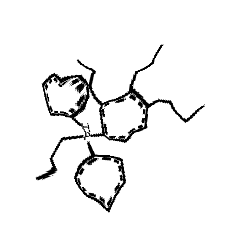 CCCc1ccc([PH](CCC)(c2ccccc2)c2ccccc2)c(CCC)c1CCC